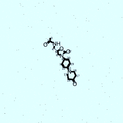 CC(=O)NC[C@H]1CN(c2ccc(N3CCC(=O)CC3)cc2)C(=O)O1